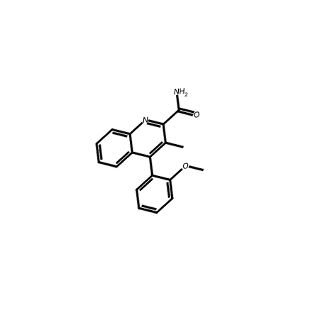 COc1ccccc1-c1c(C)c(C(N)=O)nc2ccccc12